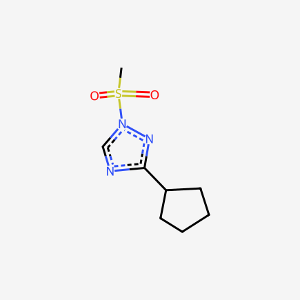 CS(=O)(=O)n1cnc(C2CCCC2)n1